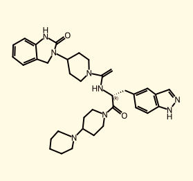 C=C(N[C@H](Cc1ccc2[nH]ncc2c1)C(=O)N1CCC(N2CCCCC2)CC1)N1CCC(N2Cc3ccccc3NC2=O)CC1